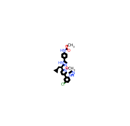 COC(=O)Nc1ccc(-c2cnc(C(CC3CC3)c3ccc(-c4cc(Cl)ccc4-n4ccnn4)c[n+]3OC)[nH]2)cc1